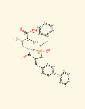 C[C@@H](CCC(=O)[C@H](Cc1ccc(-c2ccccc2)cc1)CP(=O)(O)CCc1ccccc1)[C@H](N)C(=O)O